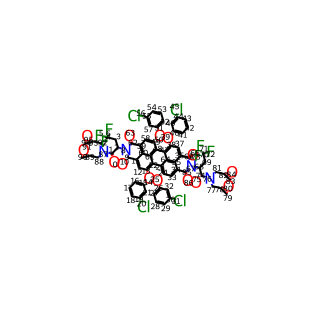 O=C(C(CC(F)(F)F)N1C(=O)c2cc(Oc3cccc(Cl)c3)c3c4c(Oc5cccc(Cl)c5)cc5c6c(cc(Oc7cccc(Cl)c7)c(c7c(Oc8cccc(Cl)c8)cc(c2c37)C1=O)c64)C(=O)N(C(CC(F)(F)F)C(=O)N(CC1CO1)CC1CO1)C5=O)N(CC1CO1)CC1CO1